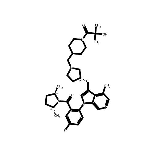 Cc1cncc2c1c(C[C@@H]1CCN(CC3CCN(C(=O)C(C)(C)O)CC3)C1)cn2-c1ccc(F)cc1C(=O)N1[C@H](C)CC[C@H]1C